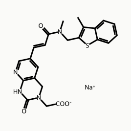 Cc1c(CN(C)C(=O)C=Cc2cnc3c(c2)CN(CC(=O)[O-])C(=O)N3)sc2ccccc12.[Na+]